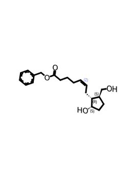 O=C(CCC/C=C\C[C@@H]1[C@@H](CO)CC[C@@H]1O)OCc1ccccc1